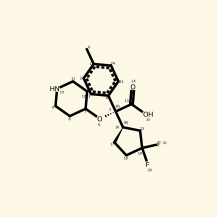 Cc1ccc([C@@](OC2CCNCC2)(C(=O)O)[C@@H]2CCC(F)(F)C2)cc1